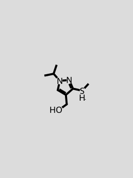 CC(C)n1cc(CO)c([SH](C)C)n1